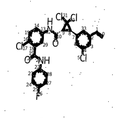 C=Cc1cc(Cl)cc([C@H]2[C@H](C(=O)Nc3ccc(Cl)c(C(=O)Nc4ccc(F)cc4)c3)C2(Cl)Cl)c1